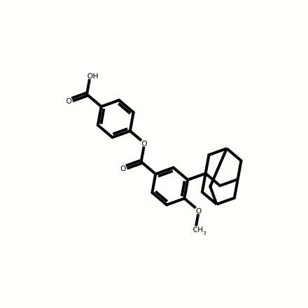 COc1ccc(C(=O)Oc2ccc(C(=O)O)cc2)cc1C12CC3CC(CC(C3)C1)C2